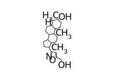 C[C@]1(O)CC[C@]2(C)C3CC[C@]4(C)C(c5cc(CO)on5)CCC4C3CC[C@H]2C1